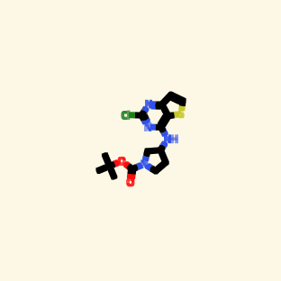 CC(C)(C)OC(=O)N1CCC(Nc2nc(Cl)nc3ccsc23)C1